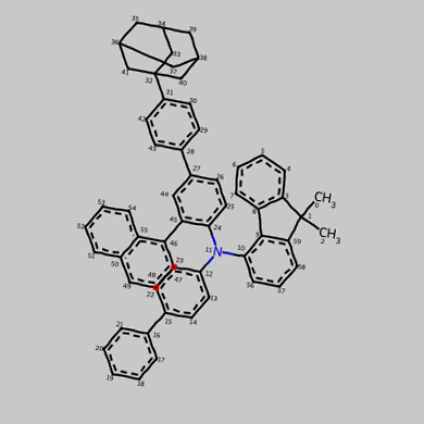 CC1(C)c2ccccc2-c2c(N(c3ccc(-c4ccccc4)cc3)c3ccc(-c4ccc(C56CC7CC(CC(C7)C5)C6)cc4)cc3-c3cccc4ccccc34)cccc21